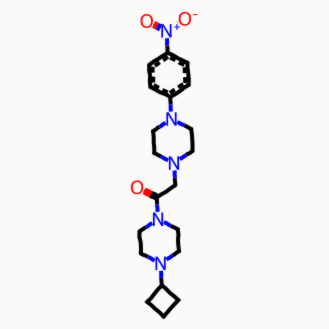 O=C(CN1CCN(c2ccc([N+](=O)[O-])cc2)CC1)N1CCN(C2CCC2)CC1